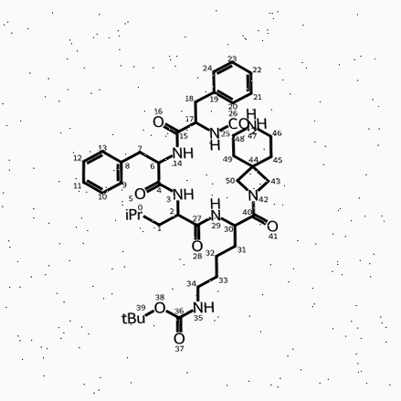 CC(C)CC(NC(=O)C(Cc1ccccc1)NC(=O)C(Cc1ccccc1)NC(=O)O)C(=O)NC(CCCCNC(=O)OC(C)(C)C)C(=O)N1CC2(CCNCC2)C1